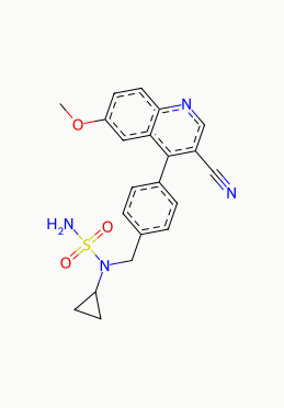 COc1ccc2ncc(C#N)c(-c3ccc(CN(C4CC4)S(N)(=O)=O)cc3)c2c1